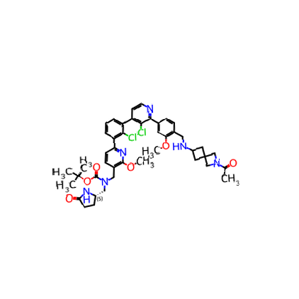 COc1cc(-c2nccc(-c3cccc(-c4ccc(CN(C[C@@H]5CCC(=O)N5)C(=O)OC(C)(C)C)c(OC)n4)c3Cl)c2Cl)ccc1CNC1CC2(C1)CN(C(C)=O)C2